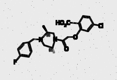 C[C@@H]1CN(Cc2ccc(F)cc2)[C@@H](C)CN1C(=O)COc1cc(Cl)ccc1C(=O)O